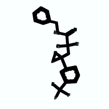 O=C(NCc1ccccc1)C(Cl)(Cl)CC1(c2cccc(C(F)(F)F)c2)CO1